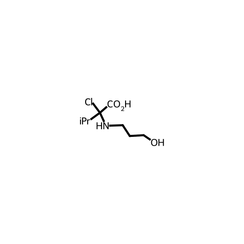 CC(C)C(Cl)(NCCCO)C(=O)O